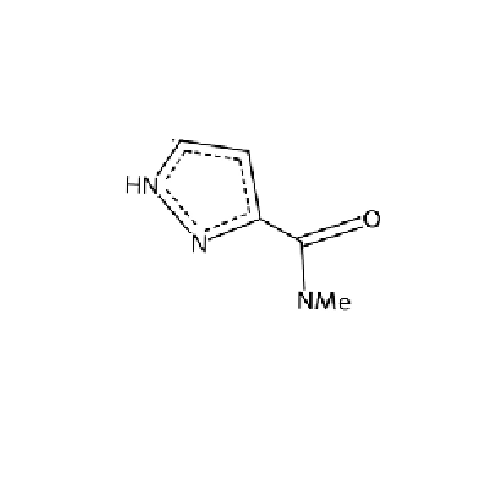 CNC(=O)c1c[c][nH]n1